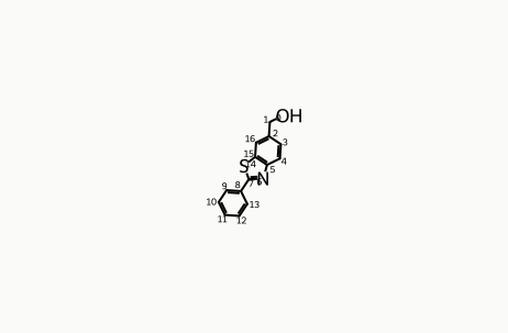 OCc1ccc2nc(-c3ccccc3)sc2c1